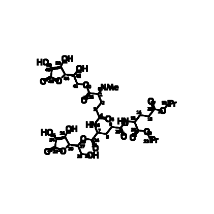 CNC(CCC(=O)NC(CCC(=O)NC(CCC(=O)OC(C)C)C(=O)OC(C)C)C(=O)OC(CO)[C@H]1OC(=O)C(O)=C1O)C(=O)OCC(O)[C@H]1OC(=O)C(O)=C1O